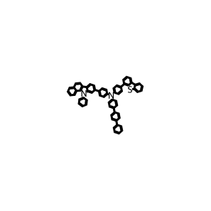 c1ccc(-c2ccc(-c3ccc(N(c4ccc(-c5ccc6c7ccc8ccccc8c7n(-c7ccccc7)c6c5)cc4)c4ccc(-c5cccc6c5sc5ccccc56)cc4)cc3)cc2)cc1